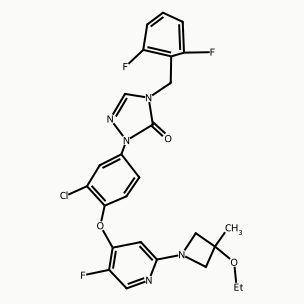 CCOC1(C)CN(c2cc(Oc3ccc(-n4ncn(Cc5c(F)cccc5F)c4=O)cc3Cl)c(F)cn2)C1